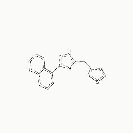 c1ccc2c(-c3c[nH]c(Cc4ccsc4)n3)cccc2c1